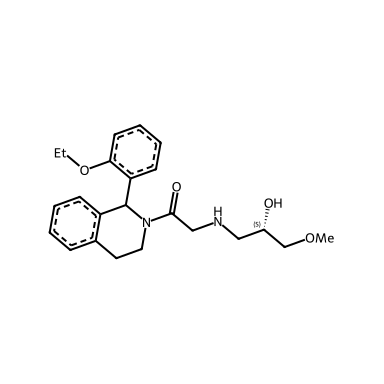 CCOc1ccccc1C1c2ccccc2CCN1C(=O)CNC[C@H](O)COC